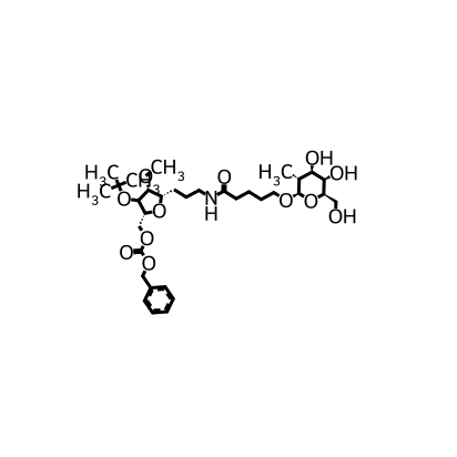 CO[C@H]1C(OC(C)(C)C)[C@@H](COC(=O)OCc2ccccc2)O[C@H]1CCCNC(=O)CCCCO[C@@H]1O[C@H](CO)[C@H](O)[C@H](O)[C@H]1C